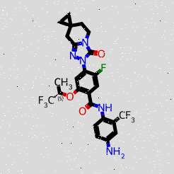 C[C@H](Oc1cc(-n2nc3n(c2=O)CCC2(CC2)C3)c(F)cc1C(=O)Nc1ccc(N)cc1C(F)(F)F)C(F)(F)F